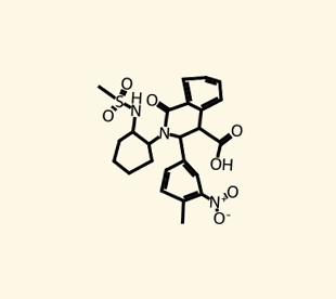 Cc1ccc(C2C(C(=O)O)c3ccccc3C(=O)N2C2CCCCC2NS(C)(=O)=O)cc1[N+](=O)[O-]